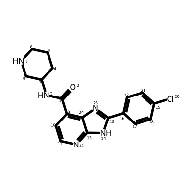 O=C(NC1CCCNC1)c1ccnc2[nH]c(-c3ccc(Cl)cc3)nc12